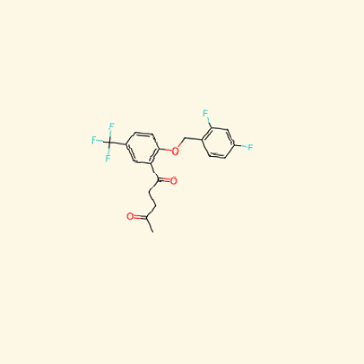 CC(=O)CCC(=O)c1cc(C(F)(F)F)ccc1OCc1ccc(F)cc1F